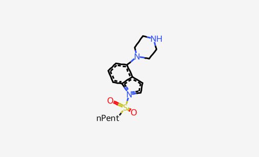 CCCCCS(=O)(=O)n1ccc2c(N3CCNCC3)cccc21